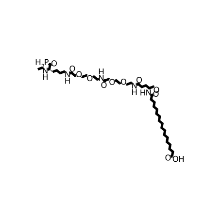 CCN[C@@H](CCCCNC(=O)COCCOCCNC(=O)COCCOCCNC(=O)CCC(C=O)NC(=O)CCCCCCCCCCCCCCCCC(=O)O)C(=O)P